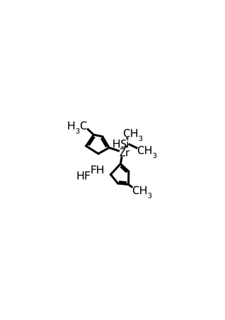 CC1=CC[C]([Zr]([C]2=CC(C)=CC2)[SiH](C)C)=C1.F.F